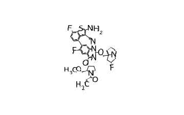 C=CC(=O)N1CC[C@@H](Oc2nc(OCC34CCCN3C[C@H](F)C4)nc3cc(-c4ccc(F)c5sc(N)c(C#N)c45)c(F)cc23)[C@@H]1COC